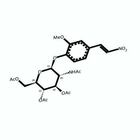 COc1cc(C=C[N+](=O)[O-])ccc1O[C@@H]1O[C@H](COC(C)=O)[C@@H](OC(C)=O)[C@H](OC(C)=O)[C@H]1NC(C)=O